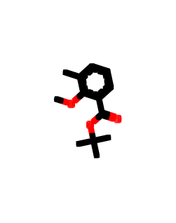 COc1c(C)cccc1C(=O)OC(C)(C)C